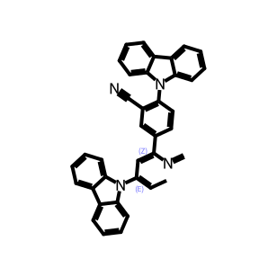 C=N/C(=C\C(=C/C)n1c2ccccc2c2ccccc21)c1ccc(-n2c3ccccc3c3ccccc32)c(C#N)c1